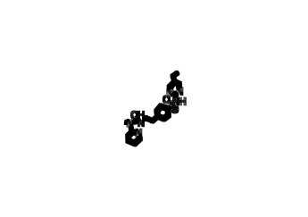 CCc1cnc(NS(=O)(=O)c2ccc(CCNC(=O)N(C)c3ccccn3)cc2)nc1